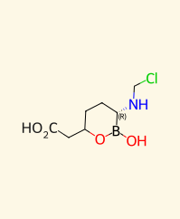 O=C(O)CC1CC[C@H](NCCl)B(O)O1